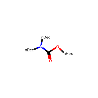 CCCCCCCCCCN(CCCCCCCCCC)C(=O)OCCCCCC